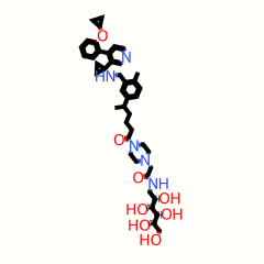 Cc1ccc(C(C)CCCC(=O)N2CCN(CC(=O)NC[C@H](O)[C@@H](O)[C@H](O)[C@H](O)CO)CC2)cc1CNC1(c2cnccc2-c2ccccc2OC2CC2)CC1